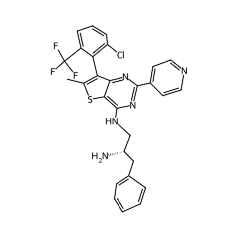 Cc1sc2c(NC[C@@H](N)Cc3ccccc3)nc(-c3ccncc3)nc2c1-c1c(Cl)cccc1C(F)(F)F